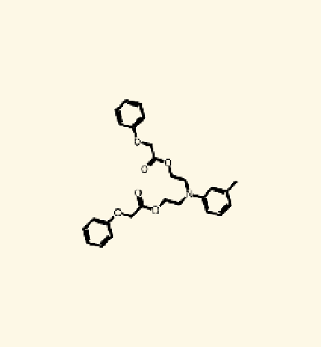 Cc1cccc(N(CCOC(=O)COc2ccccc2)CCOC(=O)COc2ccccc2)c1